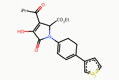 CCOC(=O)C1C(C(=O)C(C)C)=C(O)C(=O)N1C1=CC=C(c2ccsc2)CC1